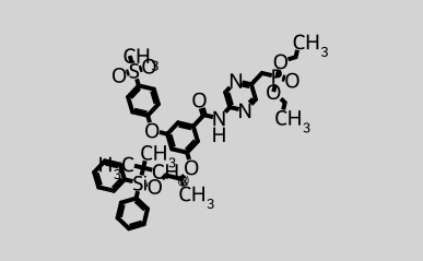 CCOP(=O)(Cc1cnc(NC(=O)c2cc(Oc3ccc(S(C)(=O)=O)cc3)cc(O[C@@H](C)CO[Si](c3ccccc3)(c3ccccc3)C(C)(C)C)c2)cn1)OCC